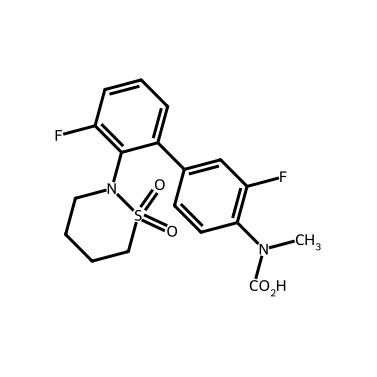 CN(C(=O)O)c1ccc(-c2cccc(F)c2N2CCCCS2(=O)=O)cc1F